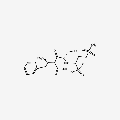 CC(C)C[C@H](NC(CCS(C)(=O)=O)P(=O)(O)O)C(=O)N(C(N)=O)[C@@H](Cc1ccccc1)C(=O)O